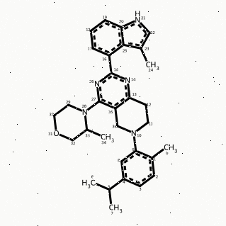 Cc1ccc(C(C)C)cc1N1CCc2nc(-c3cccc4[nH]cc(C)c34)nc(N3CCOCC3C)c2C1